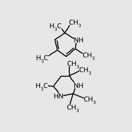 CC1=CC(C)(C)NC(C)=C1.CC1CC(C)(C)NC(C)(C)N1